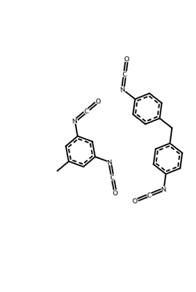 Cc1cc(N=C=O)cc(N=C=O)c1.O=C=Nc1ccc(Cc2ccc(N=C=O)cc2)cc1